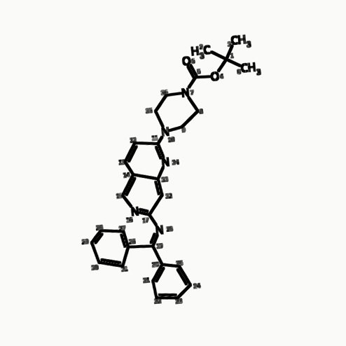 CC(C)(C)OC(=O)N1CCN(c2ccc3cnc(N=C(c4ccccc4)c4ccccc4)cc3n2)CC1